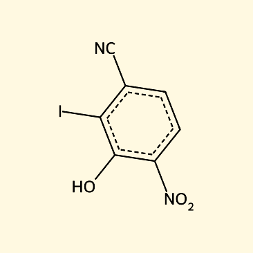 N#Cc1ccc([N+](=O)[O-])c(O)c1I